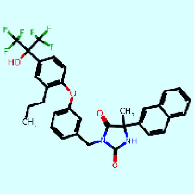 CCCc1cc(C(O)(C(F)(F)F)C(F)(F)F)ccc1Oc1cccc(CN2C(=O)NC(C)(c3ccc4ccccc4c3)C2=O)c1